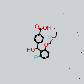 CCOCOc1cccc(F)c1C(O)c1ccc(C(=O)O)cc1